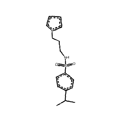 CC(C)c1ccc(S(=O)(=O)NCCCn2cccc2)cc1